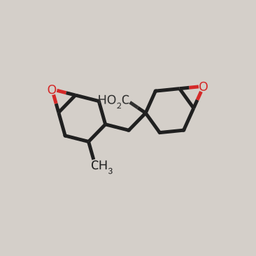 CC1CC2OC2CC1CC1(C(=O)O)CCC2OC2C1